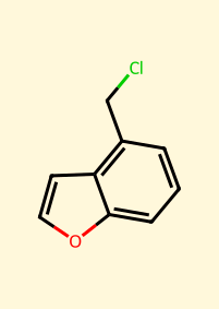 ClCc1cccc2occc12